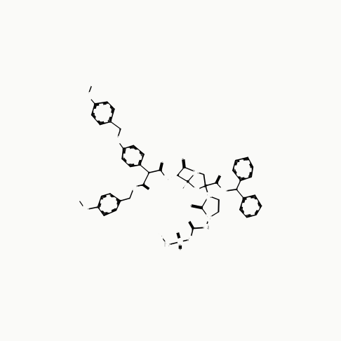 COc1ccc(COC(=O)C(C(=O)N[C@@H]2C(=O)N3CC(C(=O)OC(c4ccccc4)c4ccccc4)(N4CCN(NC(=O)NS(=O)(=O)NN)C4=O)S[C@H]23)c2ccc(OCc3ccc(OC)cc3)cc2)cc1